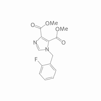 COC(=O)c1ncn(Cc2ccccc2F)c1C(=O)OC